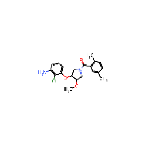 COC1CN(C(=O)c2cc(C)ccc2C)CC1Oc1cccc(N)c1Cl